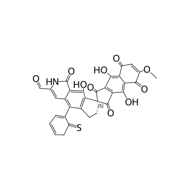 COC1=CC(=O)c2c(O)c3c(c(O)c2C1=O)C(=O)[C@]1(CCc2c1c(O)c1c(=O)[nH]c(C=O)cc1c2C1=CC=CCC1=S)C3=O